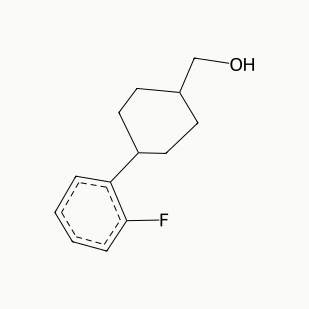 OCC1CCC(c2ccccc2F)CC1